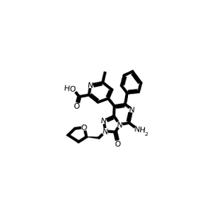 Cc1cc(-c2c(-c3ccccc3)nc(N)n3c(=O)n(C[C@H]4CCCO4)nc23)cc(C(=O)O)n1